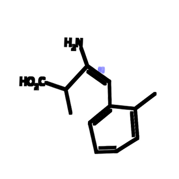 Cc1ccccc1/C=C(/N)C(C)C(=O)O